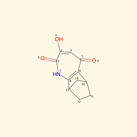 O=c1cc(O)c(=O)[nH]c2c1C1CCC2C1